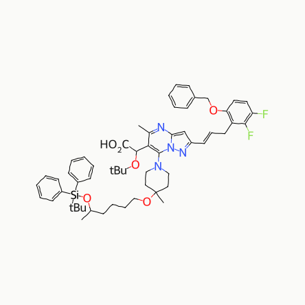 Cc1nc2cc(C=CCc3c(OCc4ccccc4)ccc(F)c3F)nn2c(N2CCC(C)(OCCCCC(C)O[Si](c3ccccc3)(c3ccccc3)C(C)(C)C)CC2)c1C(OC(C)(C)C)C(=O)O